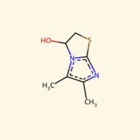 Cc1nc2n(c1C)C(O)CS2